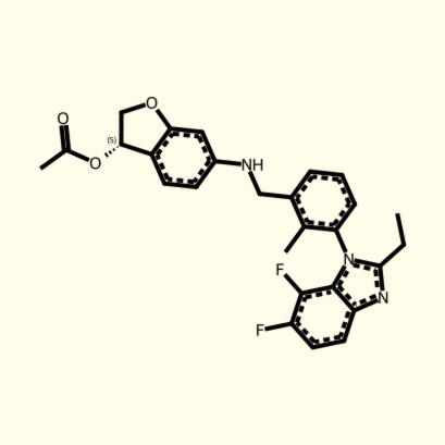 CCc1nc2ccc(F)c(F)c2n1-c1cccc(CNc2ccc3c(c2)OC[C@H]3OC(C)=O)c1C